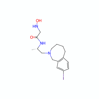 C[C@@H](CN1CCCCc2ccc(I)cc2C1)NC(=O)CNO